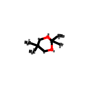 CSC1(C(C)C)OCC(C)(C)CO1